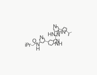 C=C(C)c1ccc(-c2cncc3[nH]c(-c4n[nH]c5ccc(-c6cncc(NC(=O)CC(C)C)c6)cc45)nc23)[nH]1